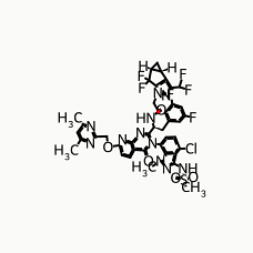 Cc1cc(C)nc(COc2ccc3c(=O)n(-c4ccc(Cl)c5c(NS(C)(=O)=O)nn(C)c45)c([C@H](Cc4cc(F)cc(F)c4)NC(=O)Cn4nc(C(F)F)c5c4C(F)(F)[C@@H]4C[C@H]54)nc3n2)n1